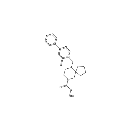 CCCCOC(=O)N1CCC(Cn2cnc(-c3ccccc3)cc2=O)C2(CCCC2)C1